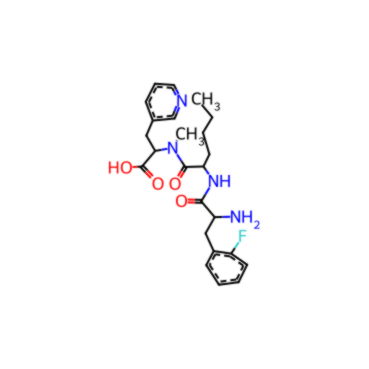 CCCCC(NC(=O)C(N)Cc1ccccc1F)C(=O)N(C)C(Cc1cccnc1)C(=O)O